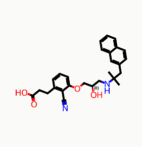 CC(C)(Cc1ccc2ccccc2c1)NC[C@@H](O)COc1cccc(CCC(=O)O)c1C#N